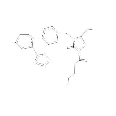 CCCCC(=O)n1nc(CC)n(Cc2ccc(-c3ccccc3-c3nnn[nH]3)cc2)c1=O